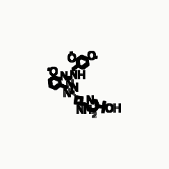 COc1ccc(CNc2nc3c(OC)cccc3c3nc([C@H]4C[C@@](N)(c5ccc(C(C)(C)O)cn5)C4)nn23)c(OC)c1